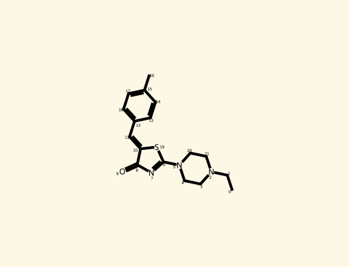 CCN1CCN(C2=NC(=O)C(=Cc3ccc(C)cc3)S2)CC1